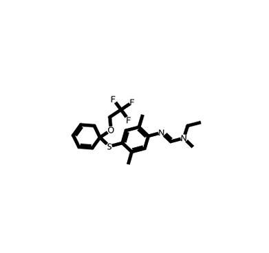 CCN(C)C=Nc1cc(C)c(SC2(OCC(F)(F)F)C=CC=CC2)cc1C